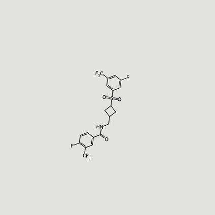 O=C(NCC1CC(S(=O)(=O)c2cc(F)cc(C(F)(F)F)c2)C1)c1ccc(F)c(C(F)(F)F)c1